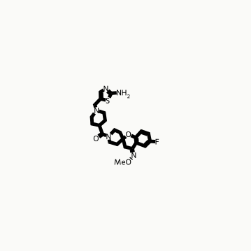 CO/N=C1\CC2(CCN(C(=O)C3CCN(Cc4cnc(N)s4)CC3)CC2)Oc2ccc(F)cc21